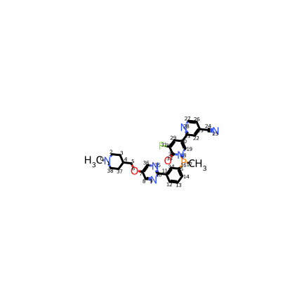 CN1CCC(COc2cnc(-c3cccc(P(C)n4cc(-c5cc(C#N)ccn5)cc(F)c4=O)c3)nc2)CC1